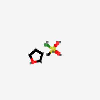 C1CCOC1.CS(=O)(=O)Cl